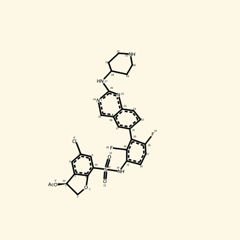 CC(=O)O[C@@H]1COc2c1cc(Cl)cc2S(=O)(=O)Nc1ccc(F)c(-c2ccc3nc(NC4CCNCC4)ncc3c2)c1F